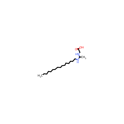 CCCCCCCCCCCCCCCCNC(C)NCC(=O)O